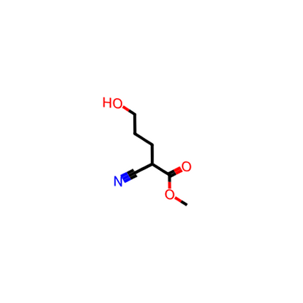 COC(=O)C(C#N)CCCO